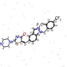 O=C1N=C(N2CCNCC2)SC1=Cc1ccc2c(cnn2Cc2ccc(C(F)(F)F)cc2C(F)(F)F)c1